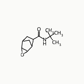 CC(C)(C)NC(=O)C1CC2CC1C1OC21